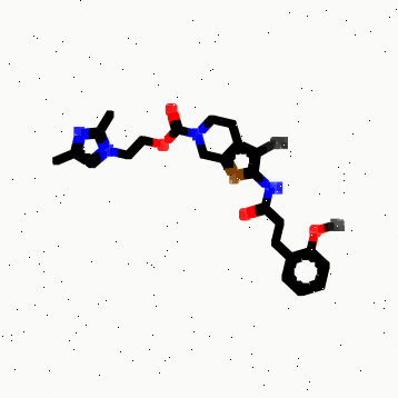 CCOc1ccccc1CCC(=O)Nc1sc2c(c1C#N)CCN(C(=O)OCCn1cc(C)nc1C)C2